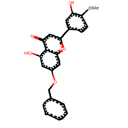 COc1ccc(-c2cc(=O)c3c(O)cc(OCc4ccccc4)cc3o2)cc1O